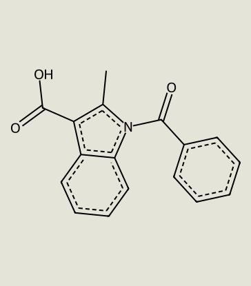 Cc1c(C(=O)O)c2ccccc2n1C(=O)c1ccccc1